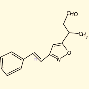 CC(CC=O)c1cc(/C=C/c2ccccc2)no1